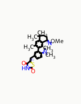 CO/N=C1\CCC(C)(C)c2cc(C)c(-c3cc(/C=C4\SC(=O)NC4=O)ccc3N(C)C)cc21